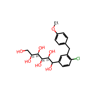 CCOc1ccc(Cc2cc(C(O)[C@H](O)[C@@H](O)[C@H](O)[C@@H](O)CO)ccc2Cl)cc1